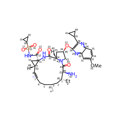 CC[C@@H]1C[C@H](C)CC/C=C\[C@@H]2C[C@@]2(C(=O)NS(=O)(=O)C2CC2)NC(=O)[C@@H]2C[C@@H](Oc3nc4cc(OC)ccc4nc3C3CC3)CN2C(=O)[C@H]1N